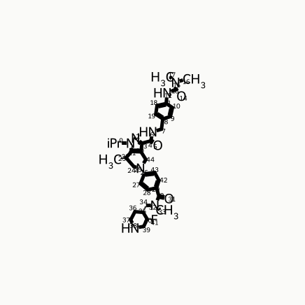 CC(C)n1nc(C(=O)NCc2ccc(NC(=O)N(C)C)cc2)c2c1[C@@H](C)CN(c1ccc(C(=O)N(C)C[C@H]3CCNC[C@H]3F)cc1)C2